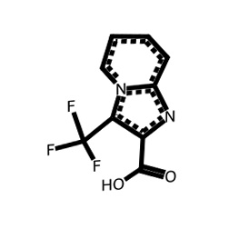 O=C(O)c1nc2ccccn2c1C(F)(F)F